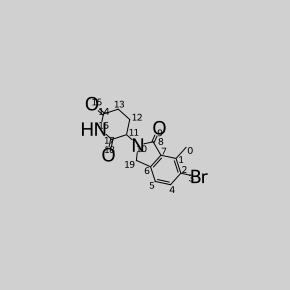 Cc1c(Br)ccc2c1C(=O)N(C1CCC(=O)NC1=O)C2